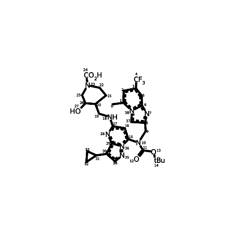 Cc1cc(C(F)(F)F)cc2nc(CN(C(=O)OC(C)(C)C)c3cc(NCC4CCN(C(=O)O)CC4O)nc4c(C5CC5)cnn34)cn12